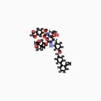 CC(C)CN(C[C@@H](O)[C@H](Cc1ccc(OCc2ccc(-c3ccccc3C#N)cc2)cc1)NC(=O)O[C@H]1CO[C@H]2OCC[C@H]21)S(=O)(=O)c1ccc2c(c1)OCO2